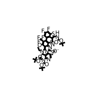 C[C@H](c1cccnc1N(C(=O)OC(C)(C)C)C(=O)OC(C)(C)C)N1CCOc2c(C(F)(F)F)c(-c3cc(F)c(F)c4sc(NC(=O)OC(C)(C)C)c(C#N)c34)c(F)c3nc([S+](C)[O-])nc1c23